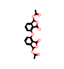 CC(=O)OC1OC(=O)c2c(Oc3cccc4c3C(=O)OC4OC(C)=O)cccc21